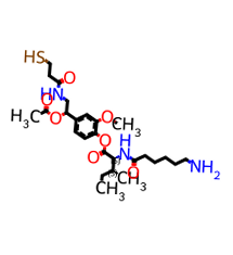 CC[C@H](C)[C@H](NC(=O)CCCCCN)C(=O)Oc1ccc(C(CNC(=O)CCS)OC(C)=O)cc1OC